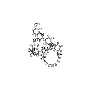 COc1ccc2c(O[C@@H]3C[C@@H](C(=O)N[C@]45C[C@H]4/C=C\CCCCCNc4ccccc4S(=O)(=O)NC5=O)N(S(C)(=O)=O)C3)cc(-c3ccccc3)nc2c1